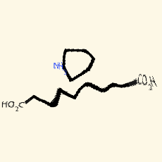 C1CCCCC1.N.O=C(O)CCCCCCCCC(=O)O